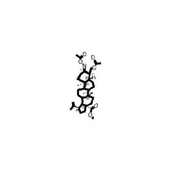 C=C(C)[C@@H]1CC[C@]2(C(=O)OC)CC[C@]3(C)C(CCC4[C@@]5(C)CC/C(=N\OC(C)=O)[C@@](C)(COC(C)=O)[C@@H]5CC[C@]43C)C12